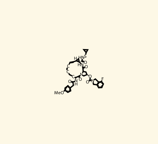 COc1ccc(CC(=O)N[C@H]2CCCCC/C=C\[C@@H]3C[C@@]3(C(=O)NSC3CC3)NC(=O)C3C[C@@H](OC(=O)N4Cc5cccc(F)c5C4)CN3C2=O)cc1